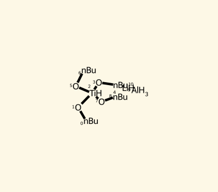 CCCC[O][TiH]([O]CCCC)([O]CCCC)[O]CCCC.[AlH3].[LiH]